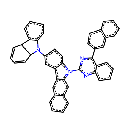 C1=CC2c3ccccc3N(c3ccc4c(c3)c3cc5ccccc5cc3n4-c3nc(-c4ccc5ccccc5c4)c4ccccc4n3)C2C=C1